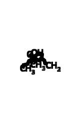 C=CCC1=CC(OC)C(O)(C(=O)CCCCC)C=C1